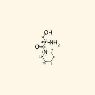 N[C@H](CO)C(=O)N1CCCCC1